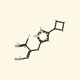 CN/C=C(/Cc1cc(C2CCC2)no1)C(=N)I